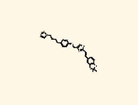 FC1(F)Oc2ccc(C=Cc3nc(COc4ccc(CCCCn5ccnn5)cc4)co3)cc2O1